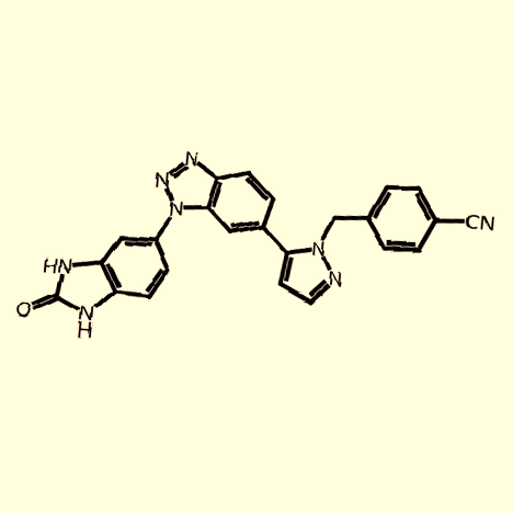 N#Cc1ccc(Cn2nccc2-c2ccc3nnn(-c4ccc5[nH]c(=O)[nH]c5c4)c3c2)cc1